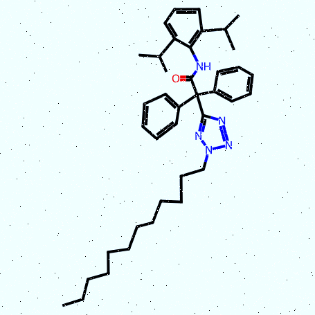 CCCCCCCCCCCCn1nnc(C(C(=O)Nc2c(C(C)C)cccc2C(C)C)(c2ccccc2)c2ccccc2)n1